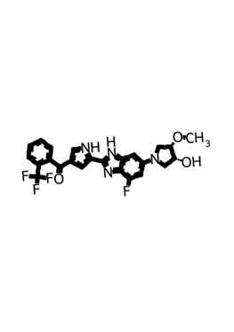 CO[C@@H]1CN(c2cc(F)c3nc(-c4cc(C(=O)c5ccccc5C(F)(F)F)c[nH]4)[nH]c3c2)C[C@H]1O